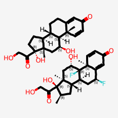 C[C@@H]1C[C@H]2[C@@H]3C[C@H](F)C4=CC(=O)C=C[C@]4(C)[C@@]3(F)[C@@H](O)C[C@]2(C)[C@@]1(O)C(=O)CO.C[C@]12C=CC(=O)C=C1CC[C@@H]1[C@@H]2[C@@H](O)C[C@@]2(C)[C@H]1CC[C@]2(O)C(=O)CO